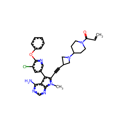 C=CC(=O)N1CCC(N2CC(C#Cc3c(-c4cnc(Oc5ccccc5)c(Cl)c4)c4c(N)ncnc4n3C)C2)CC1